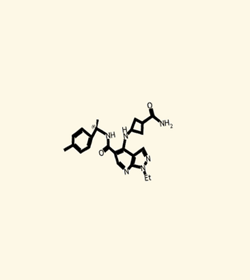 CCn1ncc2c(NC3CC(C(N)=O)C3)c(C(=O)N[C@H](C)c3ccc(C)cc3)cnc21